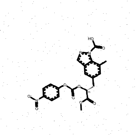 COC(=O)[C@@H](Cc1cc(C)c2c(cnn2C(=O)O)c1)OC(=O)Oc1ccc([N+](=O)[O-])cc1